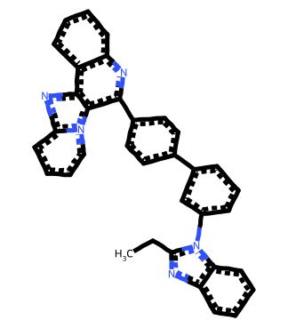 CCc1nc2ccccc2n1-c1cccc(-c2ccc(-c3nc4ccccc4c4nc5ccccn5c34)cc2)c1